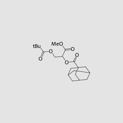 COC(=O)C(COC(=O)C(C)(C)C)OC(=O)C12CC3CC(CC(C3)C1)C2